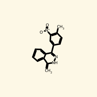 C=C1NN=C(c2ccc(C)c([N+](=O)[O-])c2)c2ccccc21